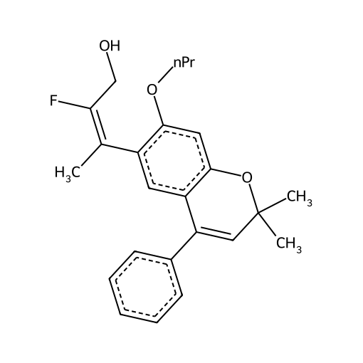 CCCOc1cc2c(cc1/C(C)=C(/F)CO)C(c1ccccc1)=CC(C)(C)O2